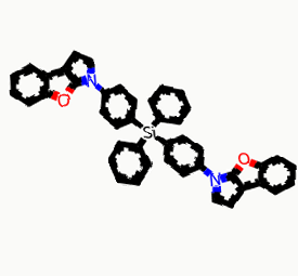 c1ccc([Si](c2ccccc2)(c2ccc(-n3ccc4c5ccccc5oc43)cc2)c2ccc(-n3ccc4c5ccccc5oc43)cc2)cc1